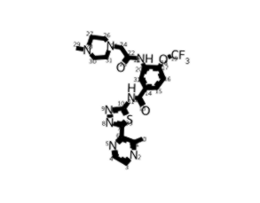 Cc1nccnc1-c1nnc(NC(=O)c2ccc(OC(F)(F)F)c(NC(=O)CN3CCN(C)CC3)c2)s1